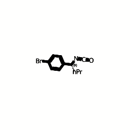 CCC[C@@H](N=C=O)c1ccc(Br)cc1